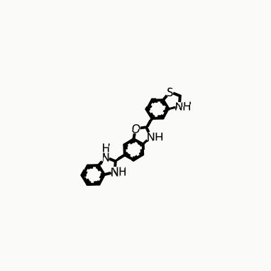 c1ccc2c(c1)NC(c1ccc3c(c1)OC(c1ccc4c(c1)NCS4)N3)N2